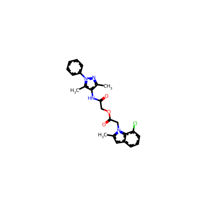 Cc1nn(-c2ccccc2)c(C)c1NC(=O)COC(=O)Cn1c(C)cc2cccc(Cl)c21